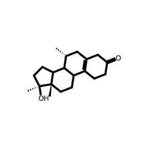 C[C@@H]1CC2=C(CCC(=O)C2)C2CC[C@@]3(C)C(CC[C@]3(C)O)C21